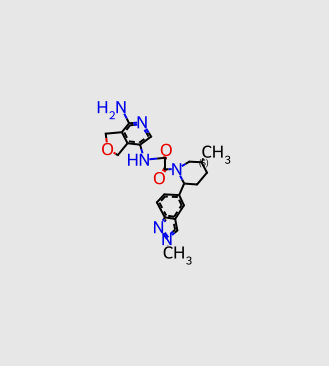 C[C@H]1CCC(c2ccc3nn(C)cc3c2)N(C(=O)C(=O)Nc2cnc(N)c3c2COC3)C1